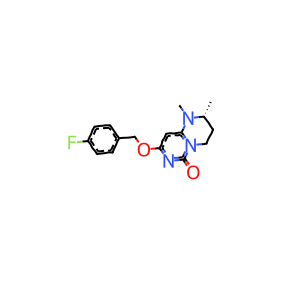 C[C@@H]1CCn2c(cc(OCc3ccc(F)cc3)nc2=O)N1C